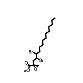 CCCCCCCCCCCC(Br)C(Br)CC1(C(=O)OC)CO1